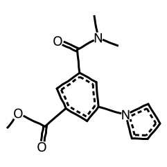 COC(=O)c1cc(C(=O)N(C)C)cc(-n2cccc2)c1